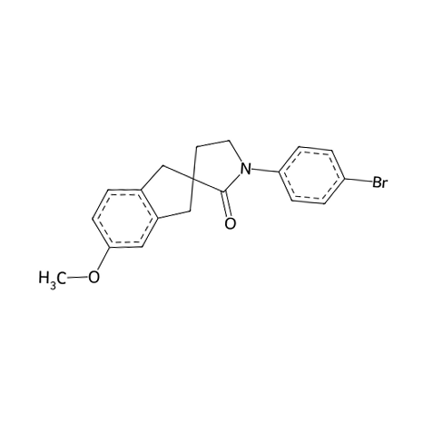 COc1ccc2c(c1)CC1(CCN(c3ccc(Br)cc3)C1=O)C2